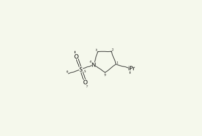 CC(C)C1CCN(S(C)(=O)=O)C1